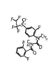 CN(C(=O)c1c(F)cccc1F)C(=O)N(C)c1ccc([S+]([O-])C(F)(F)C(F)F)cc1F